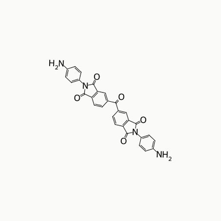 Nc1ccc(N2C(=O)c3ccc(C(=O)c4ccc5c(c4)C(=O)N(c4ccc(N)cc4)C5=O)cc3C2=O)cc1